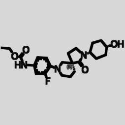 CCOC(=O)Nc1ccc(N2CCC[C@@]3(CCN([C@H]4CC[C@H](O)CC4)C3=O)C2)c(F)c1